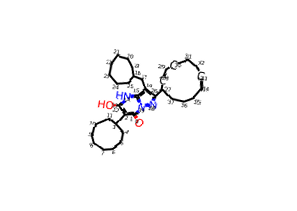 O=c1c(C2CCCCCCCC2)c(O)[nH]c2c(CC3CCCCCCC3)c(C3CCCCCCCCCC3)nn12